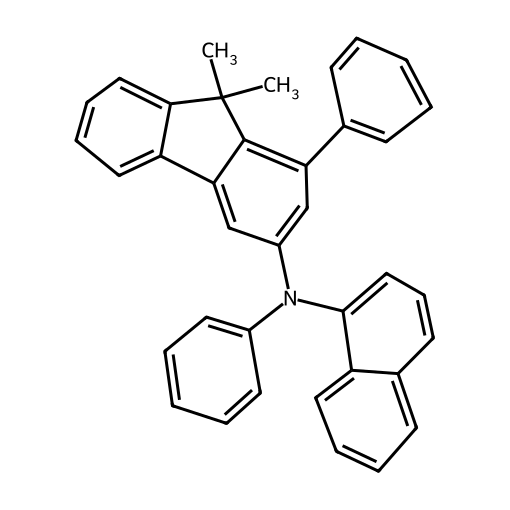 CC1(C)c2ccccc2-c2cc(N(c3ccccc3)c3cccc4ccccc34)cc(-c3ccccc3)c21